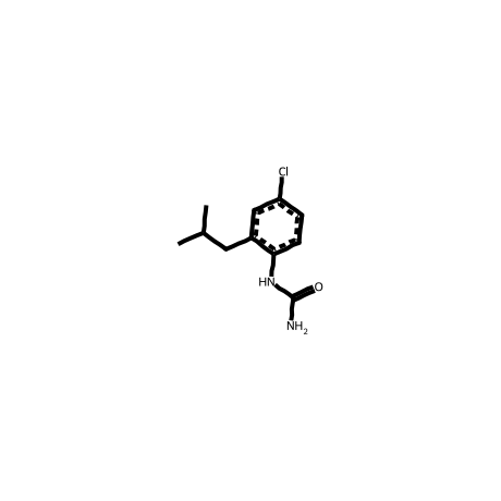 CC(C)Cc1cc(Cl)ccc1NC(N)=O